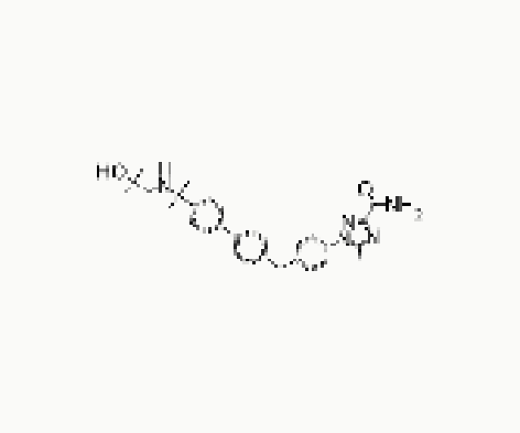 Cc1nc(C(N)=O)nn1-c1ccc(Cc2ccc(-c3ccc(C(C)(C)NCC(C)(C)O)cc3)cc2)cc1